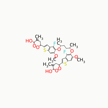 COc1cc2sc(C(=O)C[C@H](C)C(=O)O)cc2c(F)c1OC(C)CCC(C)Oc1c(OC)cc2sc(C(=O)C[C@H](C)C(=O)O)cc2c1F